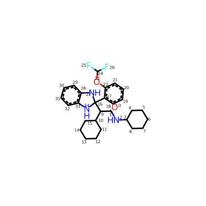 O=C(NC1CCCCC1)C(C1CCCCC1)C1(c2ccccc2OC(F)F)Nc2ccccc2N1